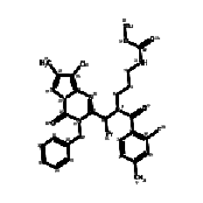 Cc1ccc(C(=O)N(CCCNC(=O)OC(C)(C)C)C(c2nc3c(Cl)c(C)nn3c(=O)n2Cc2ccccc2)C(C)C)c(F)c1